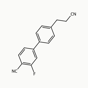 N#CCCc1ccc(-c2ccc(C#N)c(F)c2)cc1